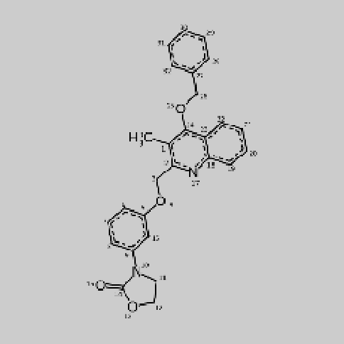 Cc1c(COc2cccc(N3CCOC3=O)c2)nc2ccccc2c1OCc1ccccc1